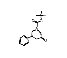 CC(C)(C)OC(=O)N1CC(=O)CC(c2ccccc2)C1